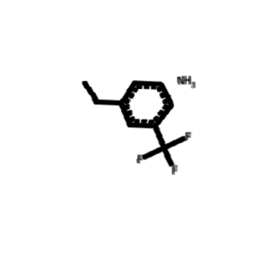 CCc1cccc(C(F)(F)F)c1.N